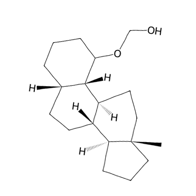 C[C@@]12CCC[C@H]1[C@@H]1CC[C@@H]3CCCC(OCO)[C@@H]3[C@H]1CC2